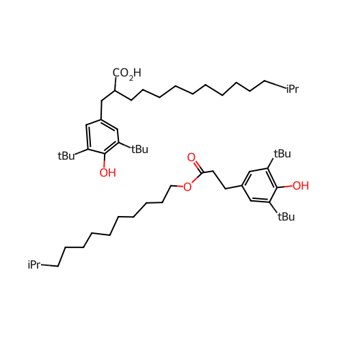 CC(C)CCCCCCCCCCC(Cc1cc(C(C)(C)C)c(O)c(C(C)(C)C)c1)C(=O)O.CC(C)CCCCCCCCCCOC(=O)CCc1cc(C(C)(C)C)c(O)c(C(C)(C)C)c1